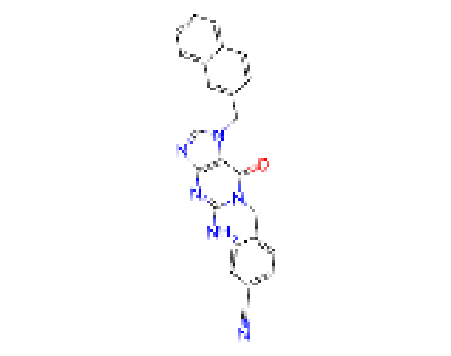 N#Cc1ccc(Cn2c(N)nc3ncn(Cc4ccc5ccccc5c4)c3c2=O)cc1